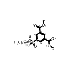 COC(=O)c1cc(C(=O)OC)cc(S(=O)(=O)O)c1.[CaH2].[CaH2]